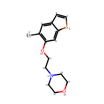 CCc1cc2ccsc2cc1OCCN1CCOCC1